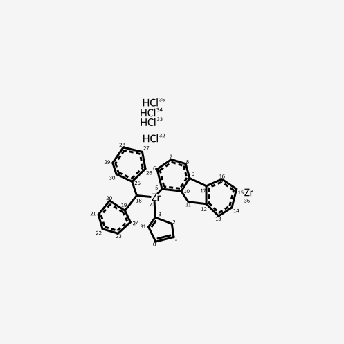 C1=CC[C]([Zr]([c]2cccc3c2Cc2ccccc2-3)[CH](c2ccccc2)c2ccccc2)=C1.Cl.Cl.Cl.Cl.[Zr]